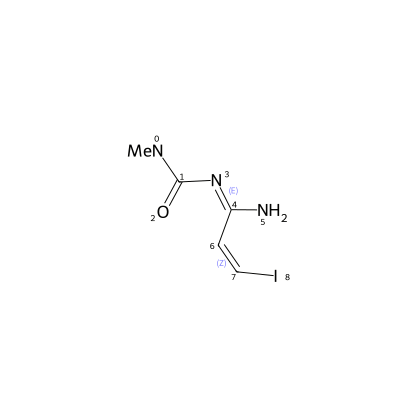 CNC(=O)/N=C(N)\C=C/I